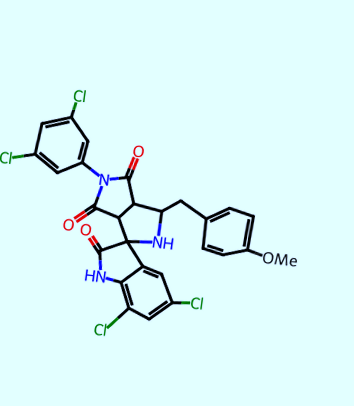 COc1ccc(CC2NC3(C(=O)Nc4c(Cl)cc(Cl)cc43)C3C(=O)N(c4cc(Cl)cc(Cl)c4)C(=O)C23)cc1